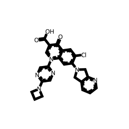 O=C(O)c1cn(-c2cnc(N3CCC3)cn2)c2cc(N3Cc4cccnc4C3)c(Cl)cc2c1=O